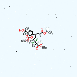 CCC(C(=O)OC(C)(C)C)(C(F)(F)F)C(F)(F)C(CC(CC(C)C(=O)OC(C(F)(F)F)C(F)(F)F)c1ccc(C(O)(C(F)(F)F)C(F)(F)F)cc1)(OC(=O)OC(C)(C)C)C(F)(F)F